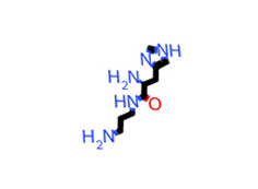 NCCCNC(=O)[C@@H](N)Cc1c[nH]cn1